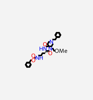 COCCN1C(=O)[C@H](CCCCNC(=O)OCc2ccccc2)NC(=O)C12CCN(CCc1ccccc1)CC2